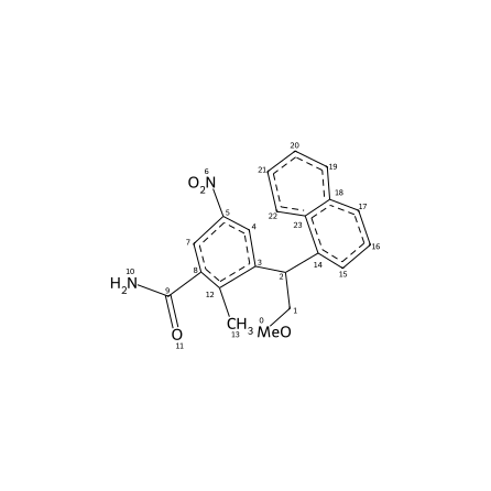 COCC(c1cc([N+](=O)[O-])cc(C(N)=O)c1C)c1cccc2ccccc12